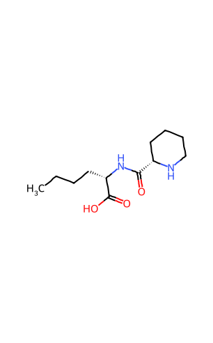 CCCC[C@H](NC(=O)[C@@H]1CCCCN1)C(=O)O